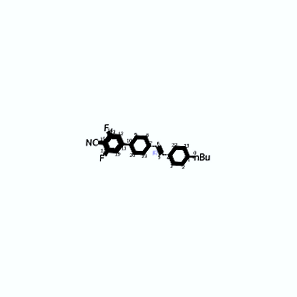 CCCC[C@H]1CC[C@H](/C=C/[C@H]2CC[C@H](c3cc(F)c(C#N)c(F)c3)CC2)CC1